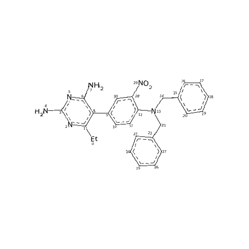 CCc1nc(N)nc(N)c1-c1ccc(N(Cc2ccccc2)Cc2ccccc2)c([N+](=O)[O-])c1